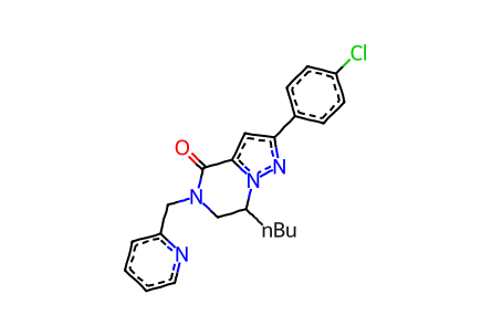 CCCCC1CN(Cc2ccccn2)C(=O)c2cc(-c3ccc(Cl)cc3)nn21